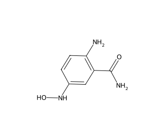 NC(=O)c1cc(NO)ccc1N